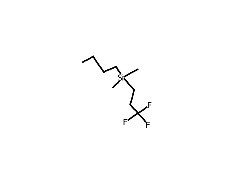 CCCC[Si](C)(C)CCC(F)(F)F